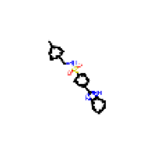 Cc1ccc(CNS(=O)(=O)c2ccc(-c3nc4ccccc4[nH]3)cc2)cc1